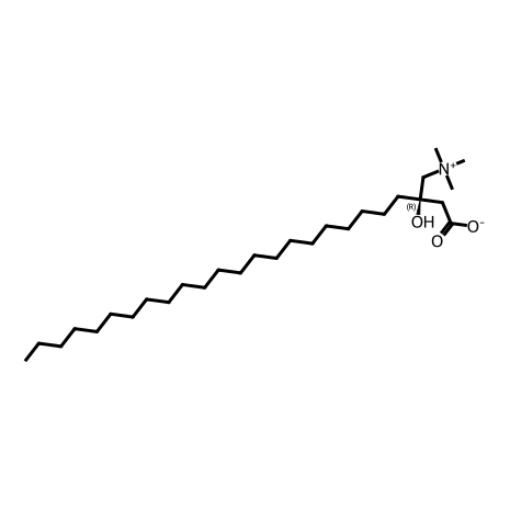 CCCCCCCCCCCCCCCCCCCCCC[C@@](O)(CC(=O)[O-])C[N+](C)(C)C